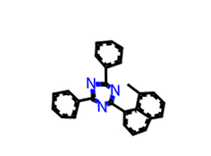 Cc1cccc2cccc(-c3nc(-c4ccccc4)nc(-c4ccccc4)n3)c12